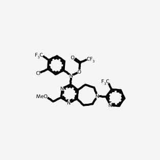 COCc1nc2c(c(N(OC(=O)C(F)(F)F)c3ccc(C(F)(F)F)c(Cl)c3)n1)CCN(c1ncccc1C(F)(F)F)CC2